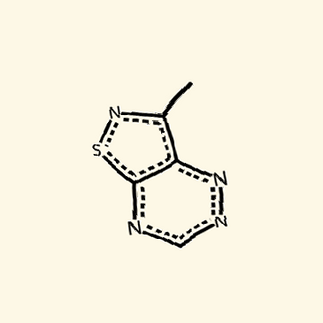 Cc1nsc2ncnnc12